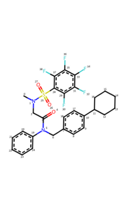 CN(CC(=O)N(Cc1ccc(C2CCCCC2)cc1)c1ccccc1)S(=O)(=O)c1c(F)c(F)c(F)c(F)c1F